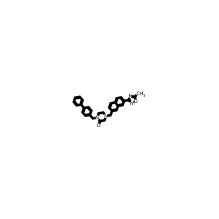 Cc1nc(-c2ccc3ccc(CN4CCN(Cc5ccc(-c6ccccc6)cc5)C(=O)C4)cc3c2)no1